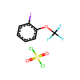 FC(F)(F)Oc1ccccc1I.O=S(=O)(Cl)Cl